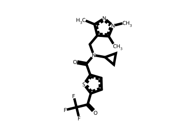 Cc1nn(C)c(C)c1CN(C(=O)c1ccc(C(=O)C(F)(F)F)s1)C1CC1